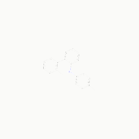 Cc1ccc(Nc2ccccc2-c2ccccc2C)cc1